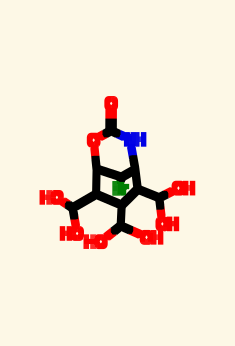 O=C1NC2C(Br)C(O1)C(C(O)O)C(C(O)O)C2C(O)O